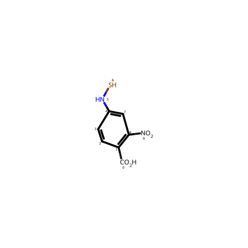 O=C(O)c1ccc(NS)cc1[N+](=O)[O-]